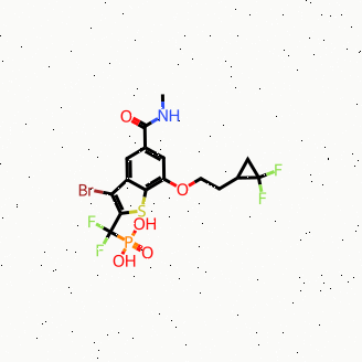 CNC(=O)c1cc(OCCC2CC2(F)F)c2sc(C(F)(F)P(=O)(O)O)c(Br)c2c1